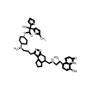 Cc1ccc(C(O)(C(=O)O[C@H]2CC[C@H](N(C)CCCc3noc4c3C3=C(CCC3)C(CNC[C@H](O)c3ccc(O)c5[nH]c(=O)ccc35)C4)CC2)c2cccs2)s1